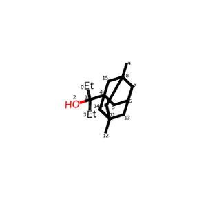 CCC(O)(CC)C12CC3CC(C)(CC(C)(C3)C1)C2